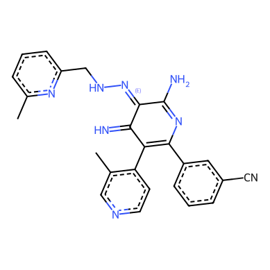 Cc1cccc(CN/N=C2\C(=N)C(c3ccncc3C)=C(c3cccc(C#N)c3)N=C2N)n1